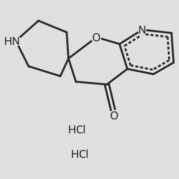 Cl.Cl.O=C1CC2(CCNCC2)Oc2ncccc21